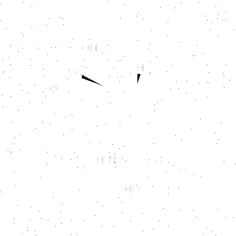 N[C@@]1(C(=O)O)CC[C@@H]2C1[C@H]2C(=O)O